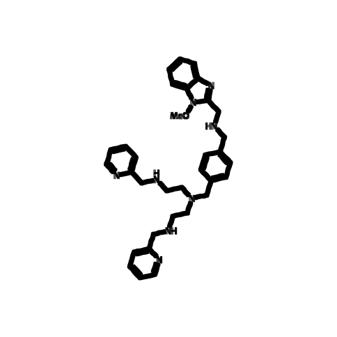 COn1c(CNCc2ccc(CN(CCNCc3ccccn3)CCNCc3ccccn3)cc2)nc2ccccc21